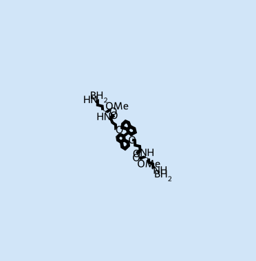 BNCCCC[C@@H](NC(=O)CCCOc1ccc2ccccc2c1-c1c(OCCCC(=O)N[C@H](CCCCNB)C(=O)OC)ccc2ccccc12)C(=O)OC